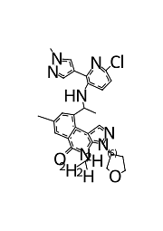 [2H]C([2H])([2H])n1c(=O)c2cc(C)cc(C(C)Nc3ccc(Cl)nc3-c3cnn(C)c3)c2c2cnn([C@H]3CCOC3)c21